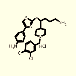 Cl.NCCCC(Sc1nc(-c2ccc(N)cc2)cs1)C1CCN(Cc2ccc(Cl)c(Cl)c2)CC1